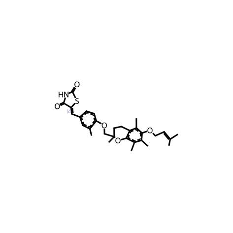 CC(C)=CCOc1c(C)c(C)c2c(c1C)CCC(C)(COc1ccc(/C=C3\SC(=O)NC3=O)cc1C)O2